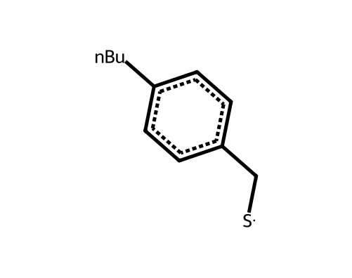 CCCCc1ccc(C[S])cc1